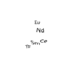 [Ce].[Eu].[Nd].[Sm].[Tb]